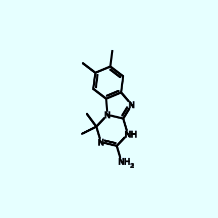 Cc1cc2nc3n(c2cc1C)C(C)(C)N=C(N)N3